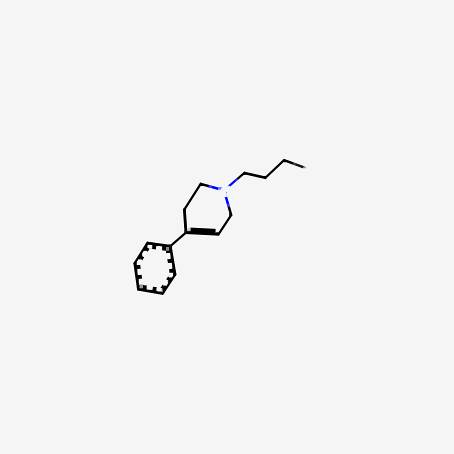 CC(C)CCCN1CC=C(c2ccccc2)CC1